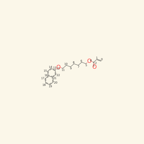 C=CC(=O)OCCCCCCCOc1ccc2ccccc2c1